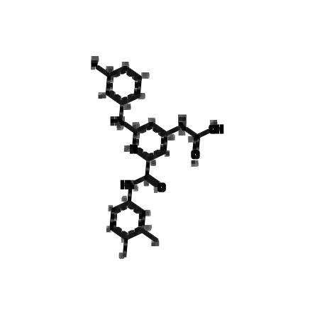 Cc1ccc(NC(=O)c2cc(NC(=O)O)cc(Nc3cccc(F)c3)n2)cc1C